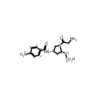 NCC(=O)N1C[C@@H](NC(=O)c2ccc([N+](=O)[O-])cc2)C[C@@H]1OC(=O)O